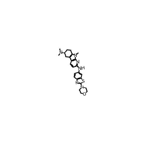 CN(C)[C@H]1CCc2c(c3ccc(Nc4ccc5nc(N6CCOCC6)sc5c4)nc3n2C)C1